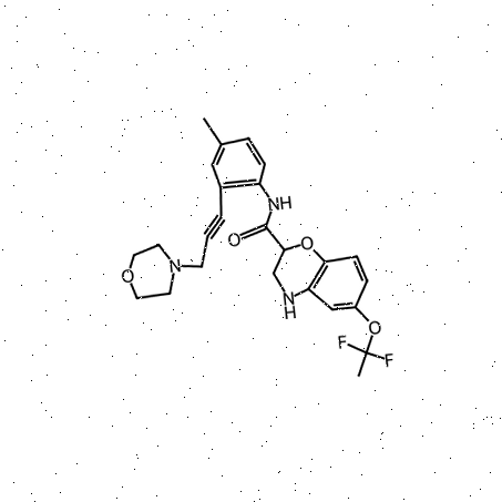 Cc1ccc(NC(=O)C2CNc3cc(OC(C)(F)F)ccc3O2)c(C#CCN2CCOCC2)c1